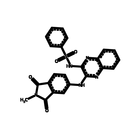 CN1C(=O)c2ccc(Nc3nc4ccccc4nc3NS(=O)(=O)c3ccccc3)cc2C1=O